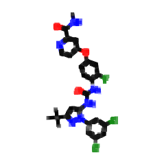 CNC(=O)c1cc(Oc2ccc(NC(=O)Nc3cc(C(C)(C)C)nn3-c3cc(Cl)cc(Cl)c3)c(F)c2)ccn1